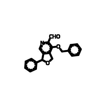 O=Cc1ncc2c(c1OCc1ccccc1)COC2c1ccccc1